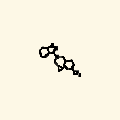 FC(F)(F)c1ccc(CN(CC2CC2)c2nsc3ccccc23)cc1